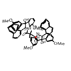 COc1cccc(C(O)(c2cccc(OC)c2)[C@@H](NC(=O)C(C)(C)C(=O)N[C@@H](c2cccc3ccccc23)C(O)(c2cccc(OC)c2)c2cccc(OC)c2)c2cccc3ccccc23)c1